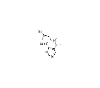 CCN(C)CCN(C)C(C)c1cncnc1OC